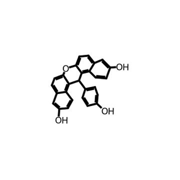 Oc1ccc(C2c3c(ccc4cc(O)ccc34)Oc3ccc4cc(O)ccc4c32)cc1